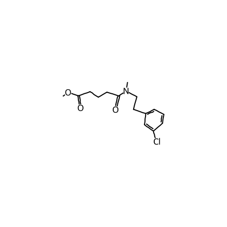 COC(=O)CCCC(=O)N(C)CCc1cccc(Cl)c1